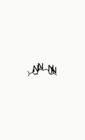 Cc1ccc(CCc2ncn3cc(C(C)C)ccc23)nn1